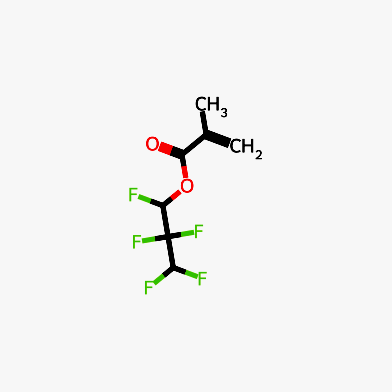 C=C(C)C(=O)OC(F)C(F)(F)C(F)F